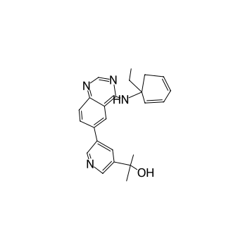 CCC1(Nc2ncnc3ccc(-c4cncc(C(C)(C)O)c4)cc23)C=CC=CC1